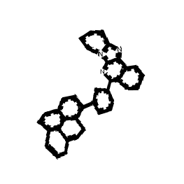 C1=Cc2ccc3ccc(-c4cccc(-c5nc6c(nc7ccccn76)c6ccccc56)c4)c4c3c2C(=CC4)C1